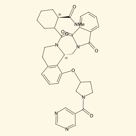 CNC(=O)[C@@H]1CCCCC1C(=O)N1CCc2cccc(OC3CCN(C(=O)c4cncnc4)C3)c2[C@H]1CN1C(=O)c2ccccc2C1=O